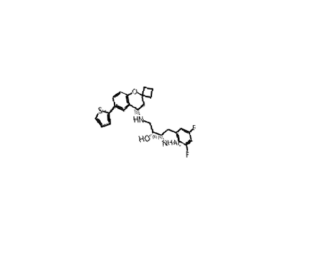 CC(=O)N[C@@H](Cc1cc(F)cc(F)c1)[C@H](O)CN[C@H]1CC2(CCC2)Oc2ccc(-c3cccs3)cc21